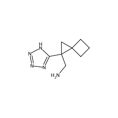 NCC1(c2nnn[nH]2)CC12CCC2